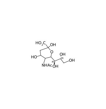 CC(=O)NC1C(O)CC(O)(C(=O)O)OC1[C@H](O)[C@H](O)CO